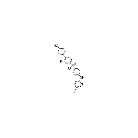 O=S(=O)(c1ccc(N2CCC(O)CC2)c(F)c1)N1CCC(Nc2ccc(C(F)(F)F)cn2)CC1